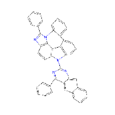 c1ccc(-c2nc(-n3c4cccc5c6ccccc6n6c(-c7ccccc7)nc7ccc3c(c54)c76)nc3cc4ccccc4cc23)cc1